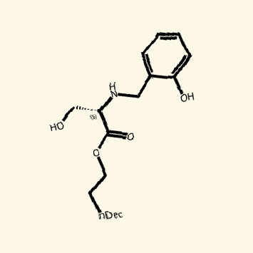 CCCCCCCCCCCCOC(=O)[C@H](CO)NCc1ccccc1O